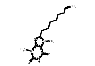 C=CCCCCCCc1nc2c(c(=O)[nH]c(=O)n2C)n1C